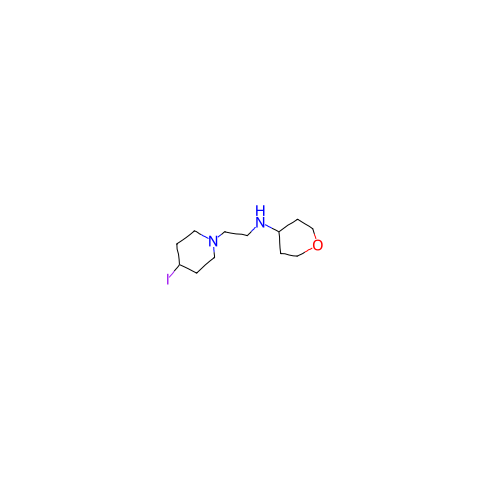 IC1CCN(CCNC2CCOCC2)CC1